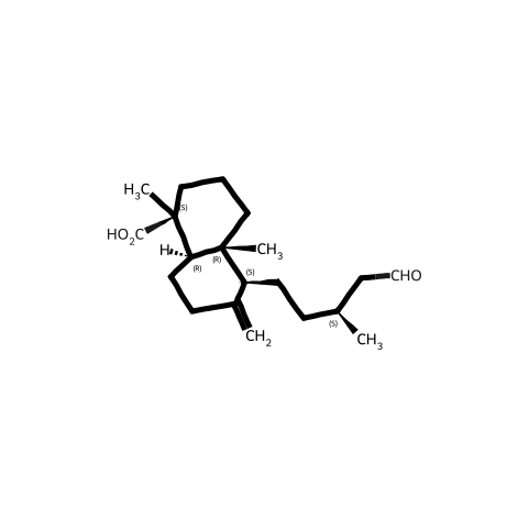 C=C1CC[C@@H]2[C@](C)(CCC[C@]2(C)C(=O)O)[C@H]1CC[C@H](C)CC=O